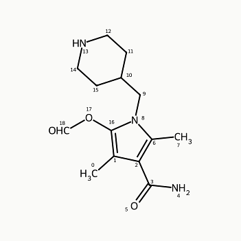 Cc1c(C(N)=O)c(C)n(CC2CCNCC2)c1OC=O